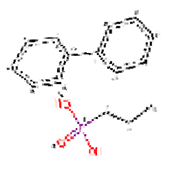 CCCP(=O)(O)O.c1ccc(-c2ccccc2)cc1